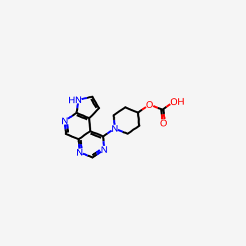 O=C(O)OC1CCN(c2ncnc3cnc4[nH]ccc4c23)CC1